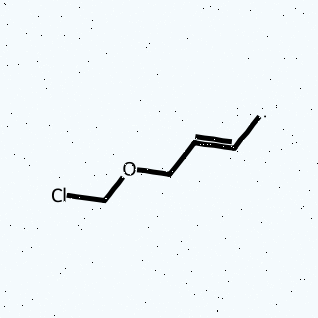 [CH2]/C=C/COCCl